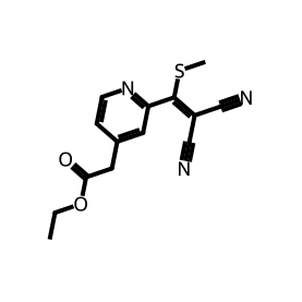 CCOC(=O)Cc1ccnc(C(SC)=C(C#N)C#N)c1